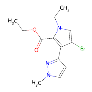 CCOC(=O)c1c(-c2ccn(C)n2)c(Br)cn1CC